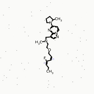 CC/C=C(F)\C=C/COCCN(C)Cc1cnn2ccc(N3CCCC3C)nc12